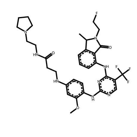 COc1cc(NCCC(=O)NCCN2CCCC2)ccc1Nc1ncc(C(F)(F)F)c(Nc2cccc3c2C(=O)N(CCF)C3C)n1